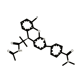 CC(=O)NC(=O)C(C)(C)[C@@H]1c2ccc(-c3ccc(C(=O)N(C)C)cc3)nc2Oc2c(F)cccc21